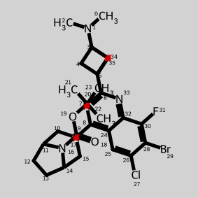 CN(C)C12CC(c3nc(N4CC5CCC(C4)N5C(=O)OC(C)(C)C)c4cc(Cl)c(Br)c(F)c4n3)(C1)C2